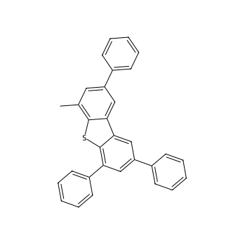 Cc1cc(-c2ccccc2)cc2c1sc1c(-c3ccccc3)cc(-c3ccccc3)cc12